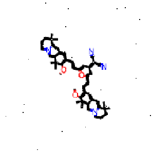 COC1=C(C=CC2=CC(=C(C#N)C#N)C=C(C=CC3=C(OC)C(C)(C)C4CN5CCCC(C)(C)C5=CC4=C3)O2)C=C2C=C3N(CCCC3(C)C)CC2C1(C)C